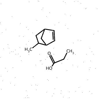 CC1CC2C=CC1C2.CCC(=O)O